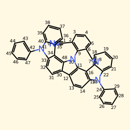 N#Cc1cccc(C#N)c1-n1c2c(ccc3c2c2ccccc2n3-c2ccccc2)c2ccc3c(c4ccccc4n3-c3ccccc3)c21